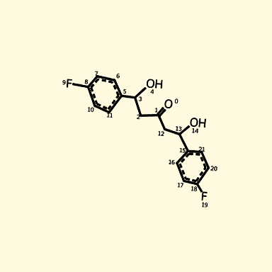 O=C(CC(O)c1ccc(F)cc1)CC(O)c1ccc(F)cc1